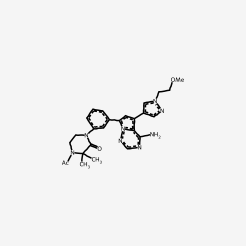 COCCn1cc(-c2cc(-c3cccc(N4CCN(C(C)=O)C(C)(C)C4=O)c3)n3ncnc(N)c23)cn1